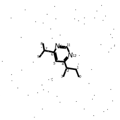 CCC(C)c1cc(C(C)C)ncn1